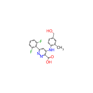 Cc1cc(CO)ccc1Nc1cc(-c2c(F)cccc2F)nnc1C(=O)O